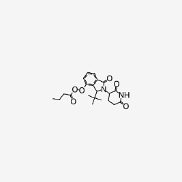 CCCC(=O)OOc1cccc2c1C(C(C)(C)C)N(C1CCC(=O)NC1=O)C2=O